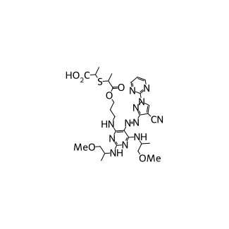 COCC(C)Nc1nc(NCCCOC(=O)C(C)SC(C)C(=O)O)c(N=Nc2nn(-c3ncccn3)cc2C#N)c(NC(C)COC)n1